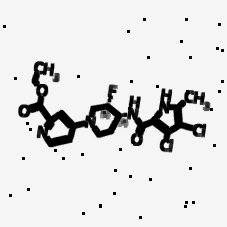 CCOC(=O)c1cc(N2CC[C@@H](NC(=O)c3[nH]c(C)c(Cl)c3Cl)[C@@H](F)C2)ccn1